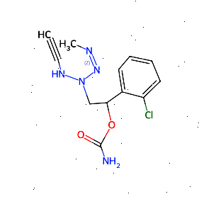 C#CNN(CC(OC(N)=O)c1ccccc1Cl)/N=N\C